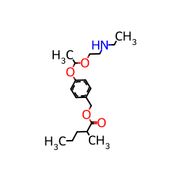 CCCC(C)C(=O)OCc1ccc(OC(C)OCCNCC)cc1